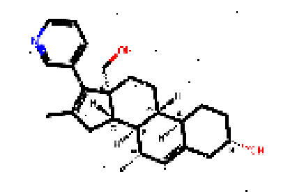 CC1=C(c2cccnc2)[C@@]2(CO)CC[C@H]3[C@@H]([C@@H](C)C=C4C[C@@H](O)CC[C@@H]43)[C@@H]2C1